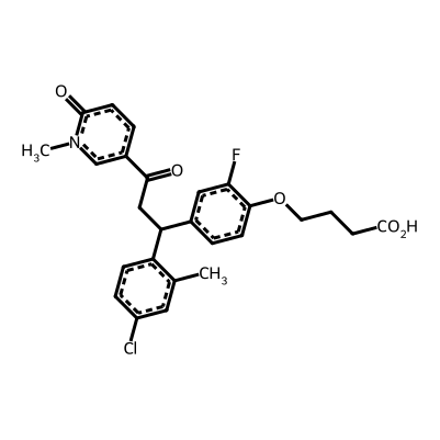 Cc1cc(Cl)ccc1C(CC(=O)c1ccc(=O)n(C)c1)c1ccc(OCCCC(=O)O)c(F)c1